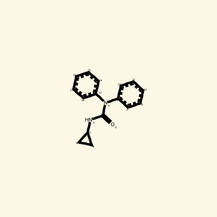 O=C(NC1CC1)N(c1ccccc1)c1ccccc1